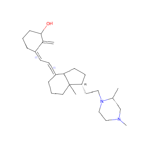 C=C1/C(=C\C=C2/CCCC3(C)C2CC[C@@H]3CCN2CCN(C)CC2C)CCCC1O